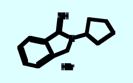 Br.N=C1c2ccccc2CN1C1CCCC1